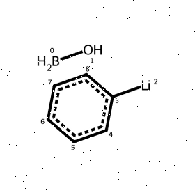 BO.[Li][c]1ccccc1